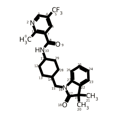 Cc1ncc(C(F)(F)F)cc1C(=O)NC1CCC(CN2C(=O)C(C)(C)c3ccccc32)CC1